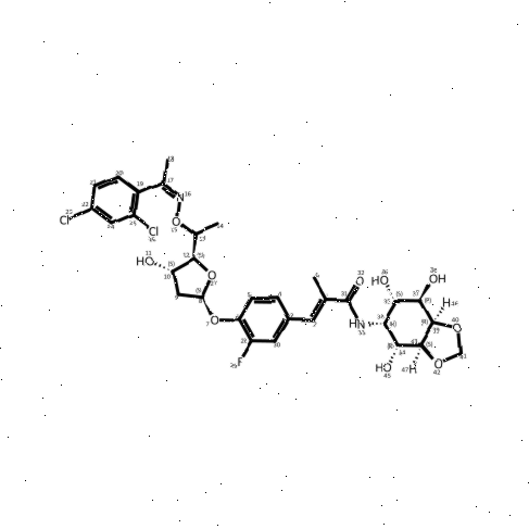 CC(=Cc1ccc(O[C@H]2C[C@H](O)[C@@H](C(C)ON=C(C)c3ccc(Cl)cc3Cl)O2)c(F)c1)C(=O)N[C@@H]1[C@H](O)[C@@H](O)[C@H]2OCO[C@H]2[C@@H]1O